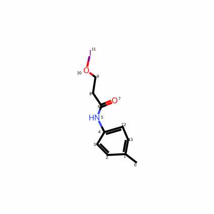 Cc1ccc(NC(=O)CCOI)cc1